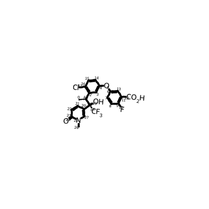 C[C@@H](c1cc(Oc2ccc(F)c(C(=O)O)c2)ccc1Cl)[C@](O)(c1ccc(=O)n(C)c1)C(F)(F)F